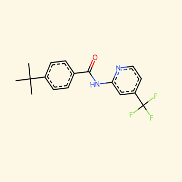 CC(C)(C)c1ccc(C(=O)Nc2cc(C(F)(F)F)ccn2)cc1